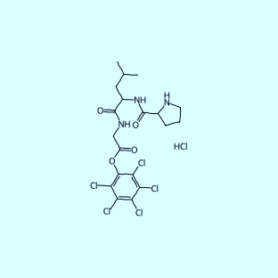 CC(C)CC(NC(=O)C1CCCN1)C(=O)NCC(=O)Oc1c(Cl)c(Cl)c(Cl)c(Cl)c1Cl.Cl